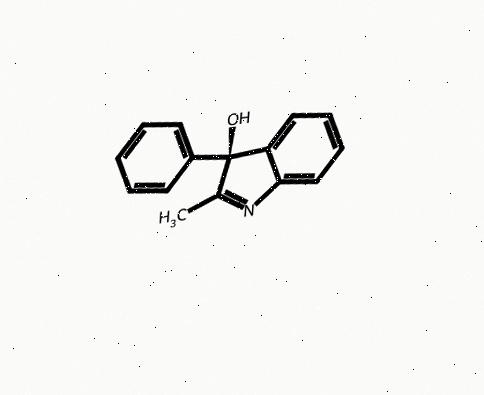 CC1=Nc2ccccc2[C@@]1(O)c1ccccc1